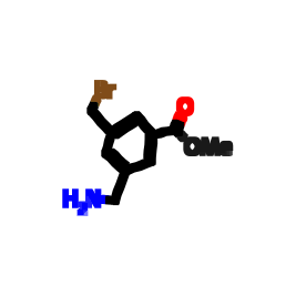 COC(=O)c1cc(CN)cc(CBr)c1